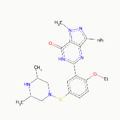 CCCc1nn(C)c2c(=O)[nH]c(-c3cc(SN4CC(C)NC(C)C4)ccc3OCC)nc12